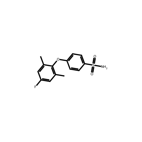 Cc1cc(F)cc(C)c1Oc1ccc(S(N)(=O)=O)cc1